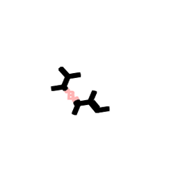 C/C=C(C)/C(C)=B\C(C)C(C)C